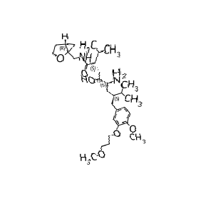 COCCCOc1cc(C[C@@H](C[C@H](N)[C@@H](O)C[C@H](C(=O)NCC23C[C@H]2CCO3)C(C)C)C(C)C)ccc1OC